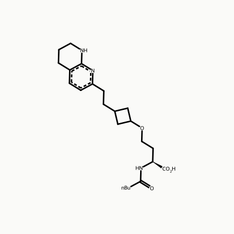 CCCCC(=O)N[C@@H](CCOC1CC(CCc2ccc3c(n2)NCCC3)C1)C(=O)O